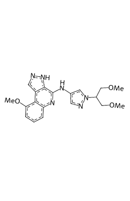 COCC(COC)n1cc(Nc2nc3cccc(OC)c3c3cn[nH]c23)cn1